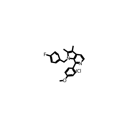 COc1ccc(-c2nccc3c(C)c(C)n(Cc4ccc(F)cc4)c23)cc1.Cl